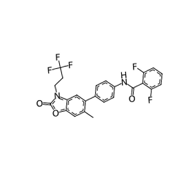 Cc1cc2oc(=O)n(CCC(F)(F)F)c2cc1-c1ccc(NC(=O)c2c(F)cccc2F)cc1